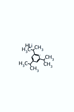 CC(C)c1[c]c(C(C)C)cc(C(C)C)c1.[LiH]